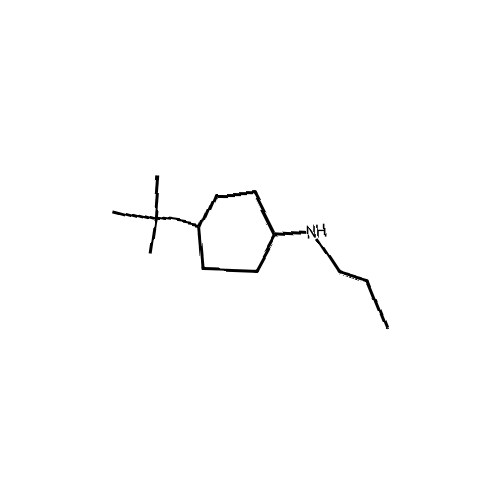 CCCNC1CCC(C(C)(C)C)CC1